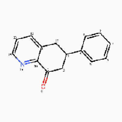 O=C1CC(c2ccccc2)Cc2cccnc21